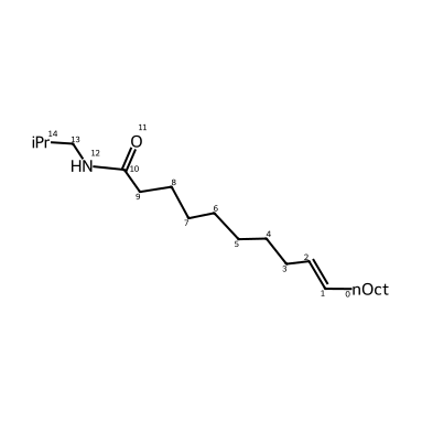 CCCCCCCCC=CCCCCCCCC(=O)NCC(C)C